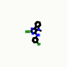 Cl.Cn1c2ccccc2c2ncnc(Nc3cccc(Br)c3)c21